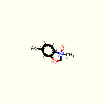 CC(=O)c1ccc2c(c1)OC[N+]2(C)[O-]